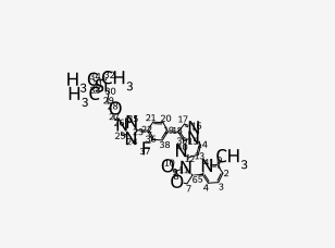 Cc1cccc([C@H]2COC(=O)N2c2ccn3ncc(-c4ccc(-c5ncn(COCC[Si](C)(C)C)n5)c(F)c4)c3n2)n1